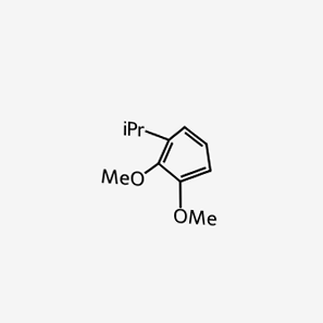 [CH2]C(C)c1cccc(OC)c1OC